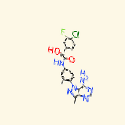 Cc1cc(NC(=O)[C@H](O)c2ccc(Cl)c(F)c2)ccc1-n1nc(C)c2ncnc(N)c21